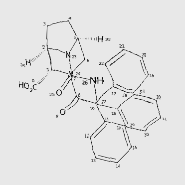 O=C(O)[C@@H]1[C@H]2CC[C@@H](CN1C(=O)C(c1ccccc1)c1ccccc1)N2C(=O)NCc1ccccc1